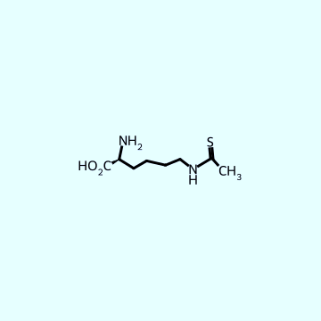 CC(=S)NCCCC[C@H](N)C(=O)O